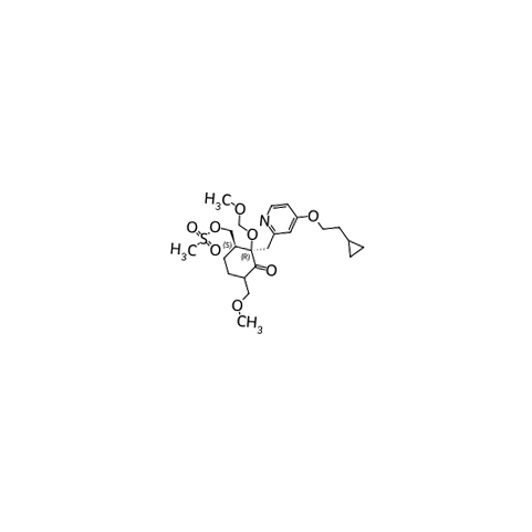 COCO[C@@]1(Cc2cc(OCCC3CC3)ccn2)C(=O)C(COC)CC[C@H]1COS(C)(=O)=O